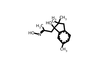 C/C(CC1(O)c2cc(C)ccc2CC1(C)C)=N\O